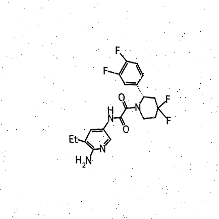 CCc1cc(NC(=O)C(=O)N2CCC(F)(F)C[C@H]2c2ccc(F)c(F)c2)cnc1N